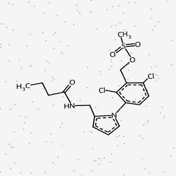 CCCC(=O)NCc1cccn1-c1ccc(Cl)c(COS(C)(=O)=O)c1Cl